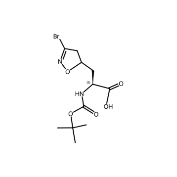 CC(C)(C)OC(=O)N[C@@H](CC1CC(Br)=NO1)C(=O)O